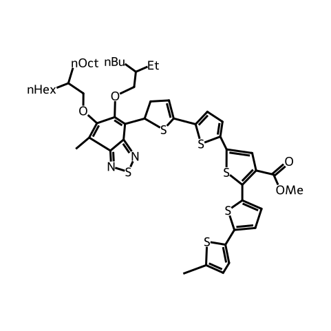 CCCCCCCCC(CCCCCC)COc1c(OCC(CC)CCCC)c(C2CC=C(c3ccc(-c4cc(C(=O)OC)c(-c5ccc(-c6ccc(C)s6)s5)s4)s3)S2)c2nsnc2c1C